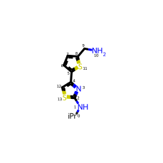 CC(C)Nc1nc(-c2ccc(CN)s2)cs1